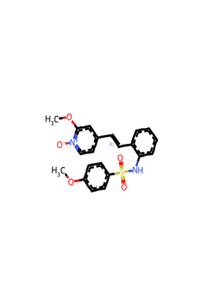 COc1ccc(S(=O)(=O)Nc2ccccc2/C=C/c2cc[n+]([O-])c(OC)c2)cc1